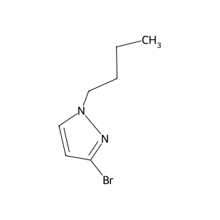 CCCCn1ccc(Br)n1